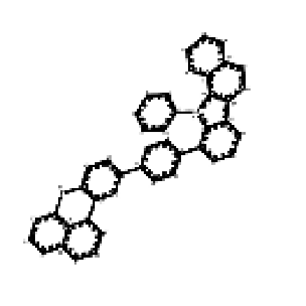 c1ccc(-n2c3c(-c4ccc(-c5ccc6c(c5)-c5cccc7cccc(c57)S6)cc4)cccc3c3ccc4ccccc4c32)cc1